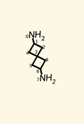 NC1CC2(C1)CC(N)C2